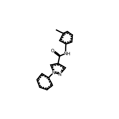 Cc1cccc(NC(=O)c2cnn(-c3ccccc3)c2)c1